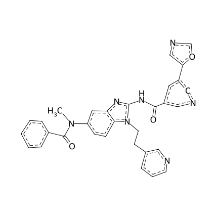 CN(C(=O)c1ccccc1)c1ccc2c(c1)nc(NC(=O)c1cncc(-c3cnco3)c1)n2CCc1cccnc1